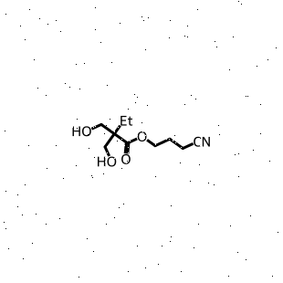 CCC(CO)(CO)C(=O)OCCCC#N